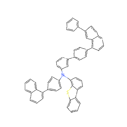 c1ccc(-c2ccc3cccc(-c4ccc(-c5cccc(N(c6ccc(-c7cccc8ccccc78)cc6)c6cccc7c6sc6ccccc67)c5)cc4)c3c2)cc1